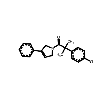 CC(C)(C(=O)N1CC=C(c2ccccc2)C1)c1ccc(Cl)cc1